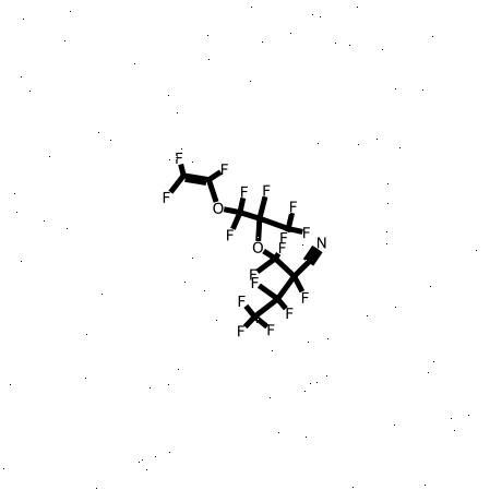 N#CC(F)(C(F)(F)OC(F)(C(F)(F)F)C(F)(F)OC(F)=C(F)F)C(F)(F)C(F)(F)F